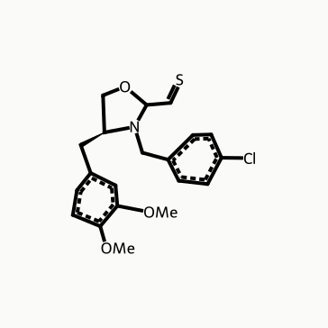 COc1ccc(C[C@H]2COC(C=S)N2Cc2ccc(Cl)cc2)cc1OC